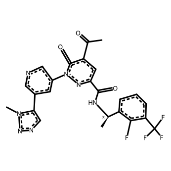 CC(=O)c1cc(C(=O)N[C@H](C)c2cccc(C(F)(F)F)c2F)nn(-c2cncc(-c3cnnn3C)c2)c1=O